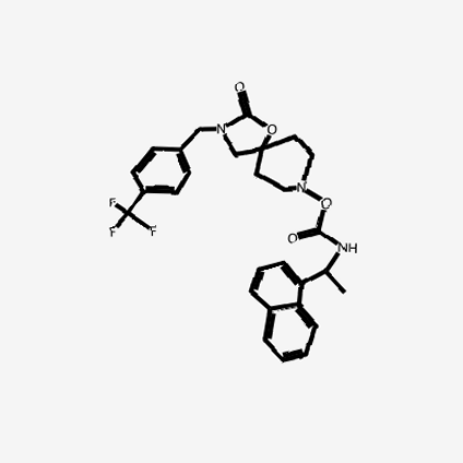 CC(NC(=O)ON1CCC2(CC1)CN(Cc1ccc(C(F)(F)F)cc1)C(=O)O2)c1cccc2ccccc12